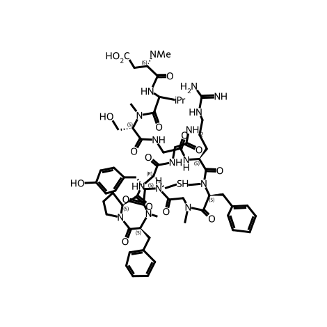 CN[C@@H](CC(=O)O)C(=O)NC(C(=O)N(C)[C@@H](CO)C(=O)NCC(=O)N[C@@H](CCCNC(=N)N)C(=O)N(C)[C@@H](Cc1ccccc1)C(=O)N(C)CC(=O)N[C@@H](Cc1ccc(O)cc1)C(=O)N(C)[C@@H](Cc1ccccc1)C(=O)N1CCC[C@H]1C(=O)N[C@@H](CS)C(=O)NCC(N)=O)C(C)C